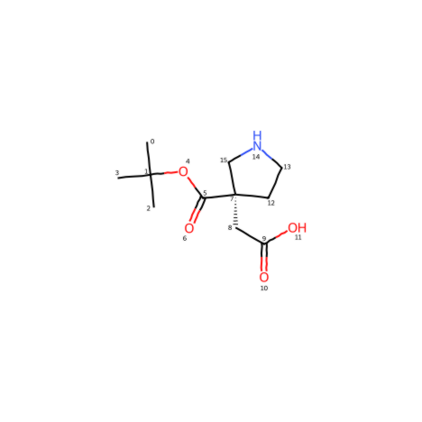 CC(C)(C)OC(=O)[C@]1(CC(=O)O)CCNC1